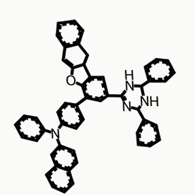 C1=C2Oc3c(-c4ccc(N(c5ccccc5)c5ccc6ccccc6c5)cc4)cc(C4=NC(c5ccccc5)NC(c5ccccc5)N4)cc3C2Cc2ccccc21